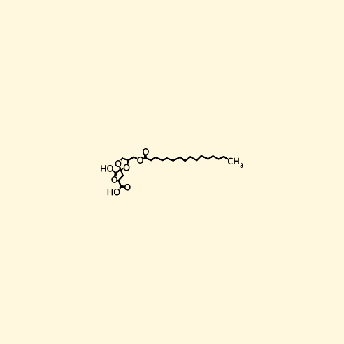 CCCCCCCCCCCCCCCC(=O)OCC1COC(CCC(=O)O)(C(=O)O)O1